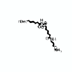 CCCCCCCCCCCCCCCC(=O)NS(=O)(=O)CCCCCC(=O)NCCCON